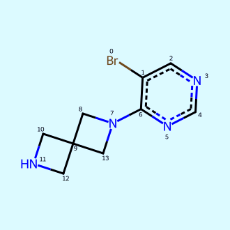 Brc1cncnc1N1CC2(CNC2)C1